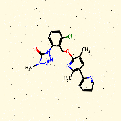 Cc1cc(-c2ccccn2)c(C)nc1OCc1c(Cl)cccc1-n1nnn(C)c1=O